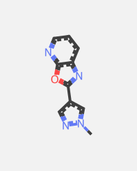 Cn1cc(-c2nc3cccnc3o2)cn1